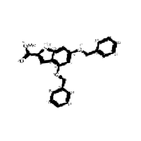 COC(=O)c1cc2c(OCc3ccccc3)cc(OCc3ccccc3)cc2[nH]1